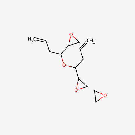 C1CO1.C=CCC(OC(CC=C)C1CO1)C1CO1